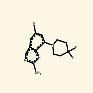 Nc1ncc2cc(Br)cc(N3CCC(F)(F)CC3)c2n1